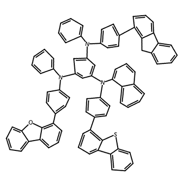 c1ccc(N(c2ccc(-c3cccc4c3Cc3ccccc3-4)cc2)c2cc(N(c3ccccc3)c3ccc(-c4cccc5c4oc4ccccc45)cc3)cc(N(c3ccc(-c4cccc5c4sc4ccccc45)cc3)c3cccc4ccccc34)c2)cc1